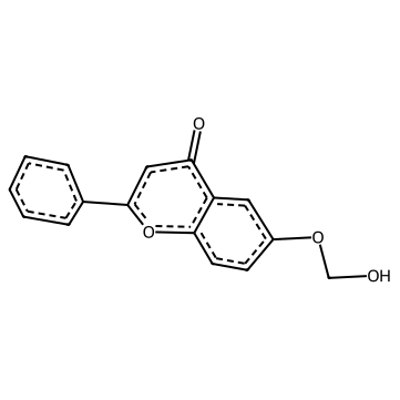 O=c1cc(-c2ccccc2)oc2ccc(OCO)cc12